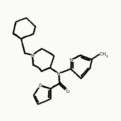 Cc1ccc(N(C(=O)c2ccco2)C2CCN(CC3CCCCC3)CC2)nc1